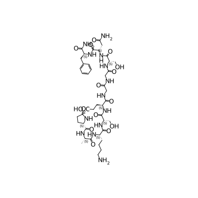 C[C@H](NC(=O)[C@@H]1CCC(=O)N1)C(=O)N[C@@H](CCCCN)C(=O)N[C@@H](CO)C(=O)N[C@@H](CCC(=O)O)C(=O)NCC(=O)NCC(=O)N[C@@H](CO)C(=O)N[C@@H](CC(N)=O)C(=O)N[C@@H](Cc1ccccc1)C(N)=O